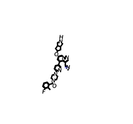 C/N=C/c1cnn2cc(OC3CC4CNCC4C3)cc(-c3ccc(N4CCN(C(=O)c5cccc(F)c5C)CC4)nc3)c12